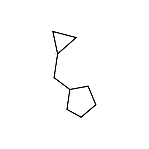 C1CCC(C[C]2CC2)C1